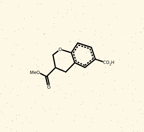 COC(=O)C1COc2ccc(C(=O)O)cc2C1